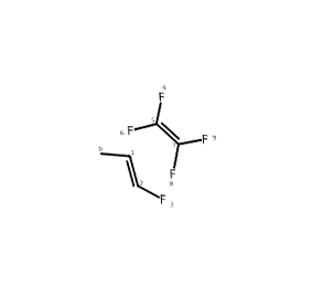 CC=CF.FC(F)=C(F)F